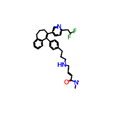 CN(C)C(=O)/C=C/CNCCCc1ccc(C2=C(c3ccc(CC(F)F)nc3)CCCc3ccccc32)cc1